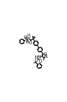 Cc1noc(-c2ccc(-c3ccc(C4(C(=O)NS(=O)(=O)c5ccccc5)CC4)cc3)cc2)c1NC(=O)O[C@H](C)c1ccccc1